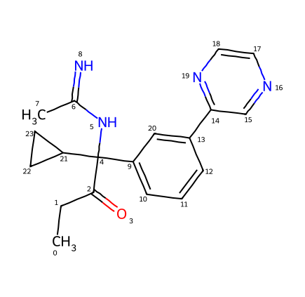 CCC(=O)C(NC(C)=N)(c1cccc(-c2cnccn2)c1)C1CC1